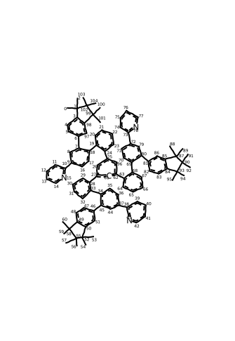 CC1(C)c2ccc(-c3cc(-c4ccccn4)ccc3-c3ccccc3-c3cc(-c4ccccc4-c4ccc(-c5ccccn5)cc4-c4ccc5c(c4)C(C)(C)C(C)(C)C5(C)C)cc(-c4ccccc4-c4ccc(-c5ccccn5)cc4-c4ccc5c(c4)C(C)(C)C(C)(C)C5(C)C)c3)cc2C(C)(C)C1(C)C